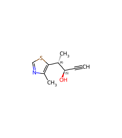 C#C[C@@H](O)[C@@H](C)c1scnc1C